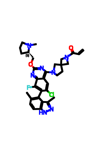 C=CC(=O)N1CC2(CCN(c3nc(OC[C@@H]4CCCN4C)nc4c(F)c(-c5c(C)ccc6[nH]nc(C)c56)c(Cl)cc34)C2)C1